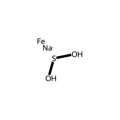 OSO.[Fe].[Na]